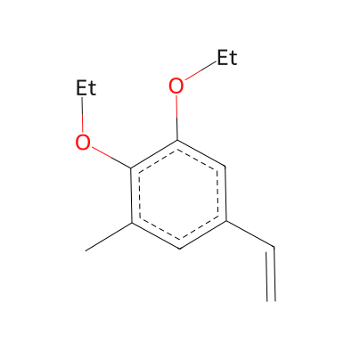 C=Cc1cc(C)c(OCC)c(OCC)c1